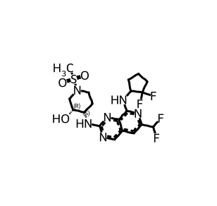 CS(=O)(=O)N1CC[C@H](Nc2ncc3cc(C(F)F)nc(NC4CCCC4(F)F)c3n2)[C@H](O)C1